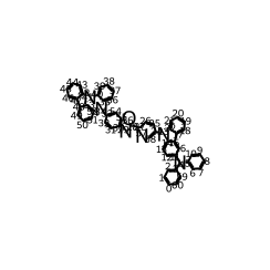 c1ccc(N(c2ccccc2)c2ccc3c(c2)c2ccccc2n3-c2ccc(-c3nc4ccc(N5c6ccccc6-n6c7ccccc7c7cccc5c76)cc4o3)nc2)cc1